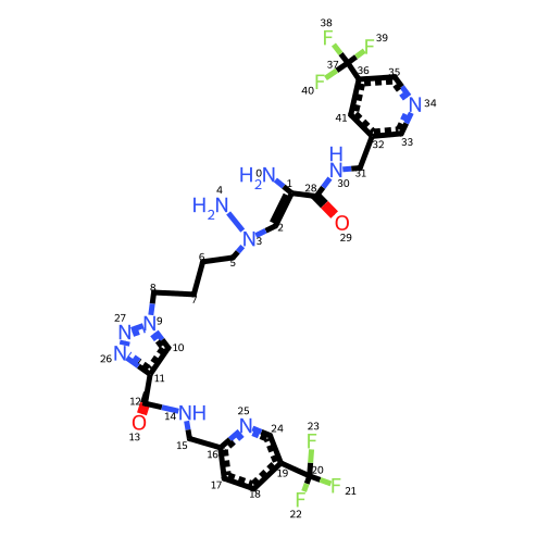 N/C(=C\N(N)CCCCn1cc(C(=O)NCc2ccc(C(F)(F)F)cn2)nn1)C(=O)NCc1cncc(C(F)(F)F)c1